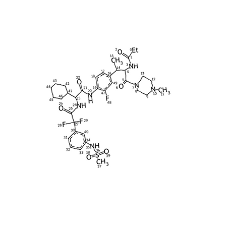 CCC(=O)NC(C(=O)N1CCN(C)CC1)C(C)c1ccc(NC(=O)C(NC(=O)C(F)(F)c2cccc(NS(C)(=O)=O)c2)C2CCCCC2)c(F)c1